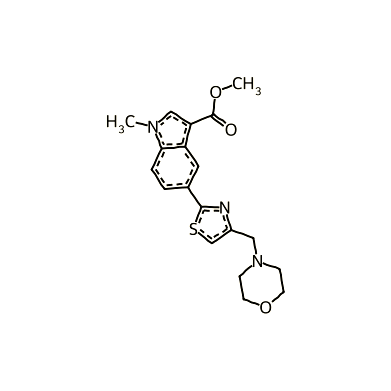 COC(=O)c1cn(C)c2ccc(-c3nc(CN4CCOCC4)cs3)cc12